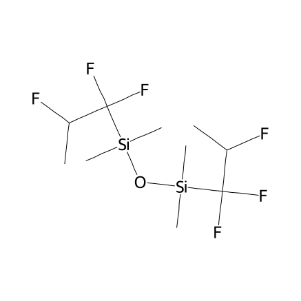 CC(F)C(F)(F)[Si](C)(C)O[Si](C)(C)C(F)(F)C(C)F